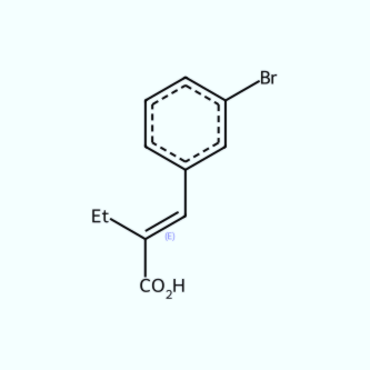 CC/C(=C\c1cccc(Br)c1)C(=O)O